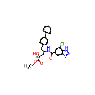 CCOC(=O)[C@H](O)CC(Cc1ccc(-c2ccccc2)cc1)NC(=O)c1cc(Cl)c2[nH]nnc2c1